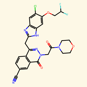 N#Cc1ccc2c(Cc3nc4cc(Cl)c(OCC(F)F)cc4[nH]3)nn(CC(=O)N3CCOCC3)c(=O)c2c1